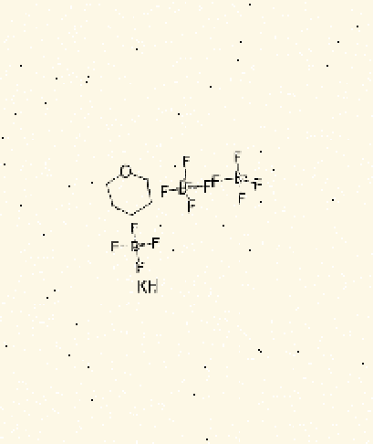 C1CCOCC1.F[B-](F)(F)F.F[B-](F)(F)F.F[B-](F)(F)F.[KH]